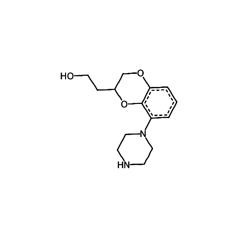 OCCC1COc2cccc(N3CCNCC3)c2O1